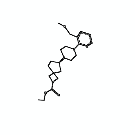 CCOC(=O)N1CC2(CC[C@@H](N3CCN(c4ncccc4COC)CC3)C2)C1